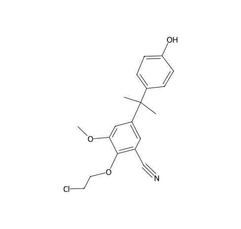 COc1cc(C(C)(C)c2ccc(O)cc2)cc(C#N)c1OCCCl